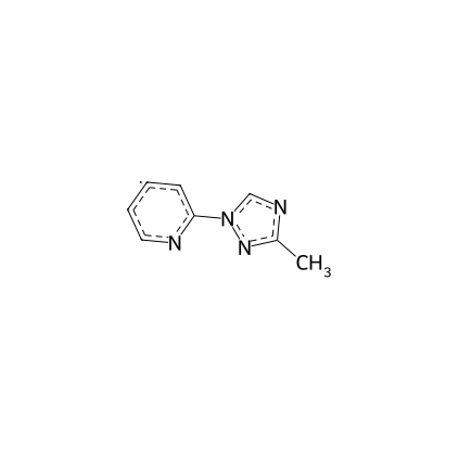 Cc1ncn(-c2c[c]ccn2)n1